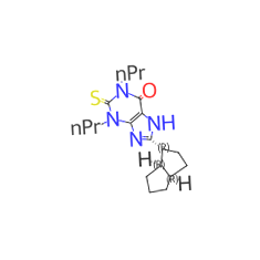 CCCn1c(=O)c2[nH]c([C@@H]3CC[C@H]4CCC[C@H]43)nc2n(CCC)c1=S